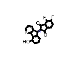 O=C1/C(=C2/c3cccnc3-c3c(O)cccc32)C(=O)c2c1ccc(F)c2F